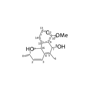 C=C/C=C\C1=C(C)C(O)c2c(OC)cccc2C1O